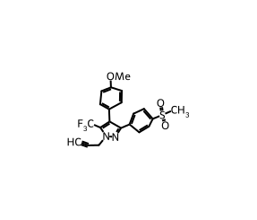 C#CCn1nc(-c2ccc(S(C)(=O)=O)cc2)c(-c2ccc(OC)cc2)c1C(F)(F)F